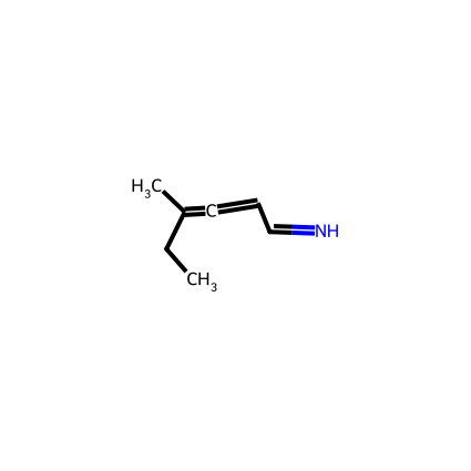 CCC(C)=C=CC=N